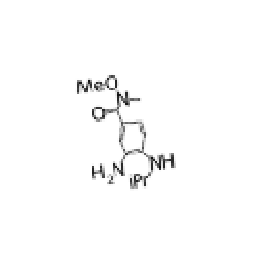 CON(C)C(=O)c1ccc(NC(C)C)c(N)c1